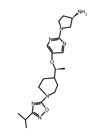 CC(C)c1noc(N2CCC([C@H](C)Oc3cnc(N4CC[C@@H](N)C4)nc3)CC2)n1